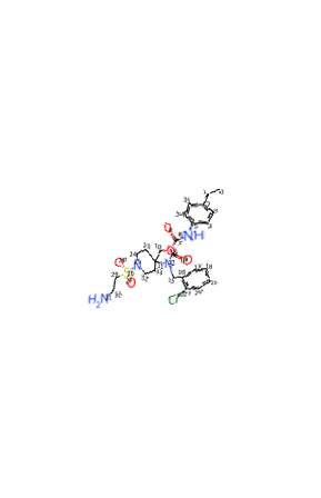 CCc1ccc(NC(=O)OCC2(N(C=O)Cc3ccccc3Cl)CCN(S(=O)(=O)CCN)CC2)cc1